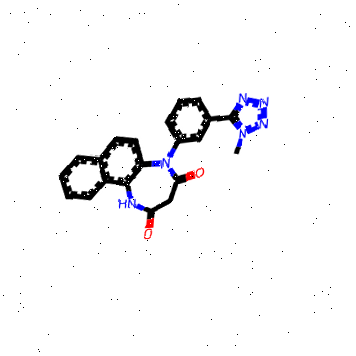 Cn1nnnc1-c1cccc(N2C(=O)CC(=O)Nc3c2ccc2ccccc32)c1